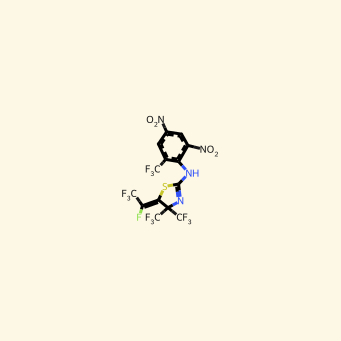 O=[N+]([O-])c1cc([N+](=O)[O-])c(NC2=NC(C(F)(F)F)(C(F)(F)F)C(=C(F)C(F)(F)F)S2)c(C(F)(F)F)c1